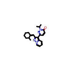 CC1CCCCC1=Cc1nn2ccccc2c1-c1ccc(=O)n(C(C)C)n1